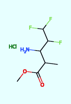 COC(=O)C(C)C(N)C(F)C(F)F.Cl